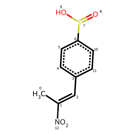 CC(=Cc1ccc(S(=O)O)cc1)[N+](=O)[O-]